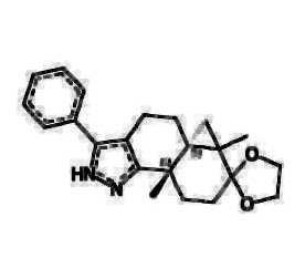 CC12C[C@]13CCc1c(n[nH]c1-c1ccccc1)[C@@]3(C)CCC21OCCO1